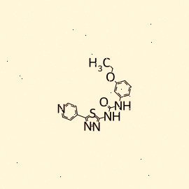 CCOc1cccc(NC(=O)Nc2nnc(-c3ccncc3)s2)c1